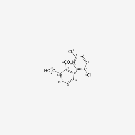 Clc1ccc(Cl)cc1.O=C(O)c1ccccc1C(=O)O